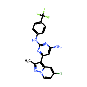 Cc1nn2ccc(Cl)cc2c1-c1cc(N)nc(Nc2ccc(C(F)(F)F)cc2)n1